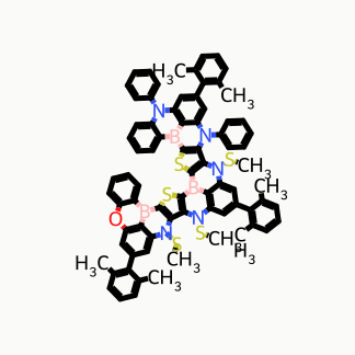 CSN1c2cc(-c3c(C)cccc3C)cc3c2B(c2ccccc2O3)c2sc3c(c21)N(SC)c1cc(-c2c(C)cccc2C)cc2c1B3c1sc3c(c1N2SC)N(c1ccccc1)c1cc(-c2c(C)cccc2C)cc2c1B3c1ccccc1N2c1ccccc1